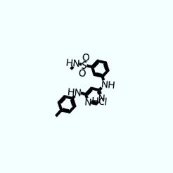 CNS(=O)(=O)c1cccc(Nc2cc(Nc3ccc(C)cc3)ncn2)c1.Cl